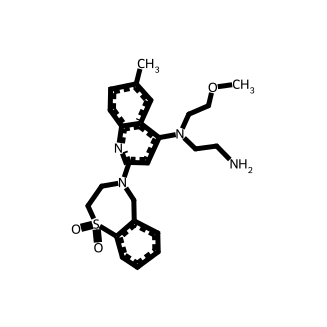 COCCN(CCN)c1cc(N2CCS(=O)(=O)c3ccccc3C2)nc2ccc(C)cc12